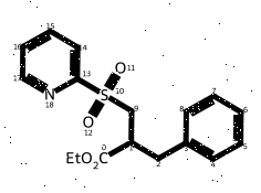 CCOC(=O)C(Cc1ccccc1)CS(=O)(=O)c1ccccn1